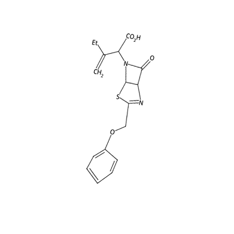 C=C(CC)C(C(=O)O)N1C(=O)C2N=C(COc3ccccc3)SC21